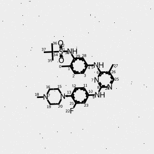 Cc1ccc(Nc2nc(Nc3ccc(N4CCN(C)CC4)c(F)c3)ncc2C)cc1NS(=O)(=O)C(C)(C)C